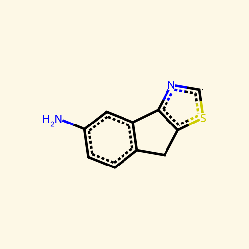 Nc1ccc2c(c1)-c1n[c]sc1C2